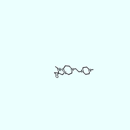 CNC1(CN2CCCN(CCN3CCN(C)CC3)CC2)CO1